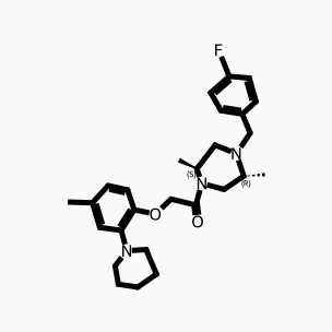 Cc1ccc(OCC(=O)N2C[C@@H](C)N(Cc3ccc(F)cc3)C[C@@H]2C)c(N2CCCCC2)c1